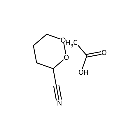 CC(=O)O.N#CC1CCCOO1